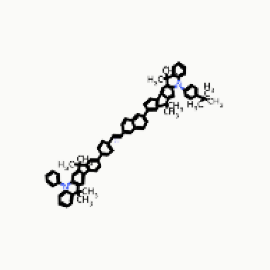 CC(C)(C)c1ccc(N2c3ccccc3C(C)(C)c3cc4c(cc32)C(C)(C)c2cc(-c3ccc5cc(/C=C/c6ccc(-c7ccc8c(c7)C(C)(C)c7cc9c(cc7-8)C(C)(C)c7ccccc7N9c7ccccc7)cc6)ccc5c3)ccc2-4)cc1